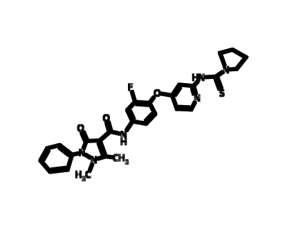 Cc1c(C(=O)Nc2ccc(Oc3ccnc(NC(=S)N4CCCC4)c3)c(F)c2)c(=O)n(-c2ccccc2)n1C